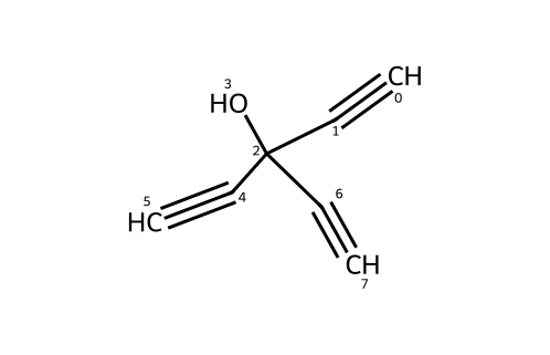 C#CC(O)(C#C)C#C